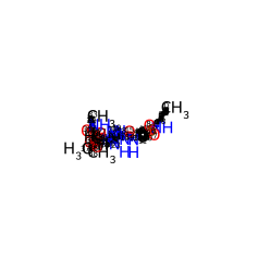 CCCCCNS(=O)(=O)c1ccc(NC(=O)Nc2ncnc3c2ncn3[C@@H]2O[C@H](C(=O)NCC)[C@H]3OC(C)(C)O[C@H]32)cc1